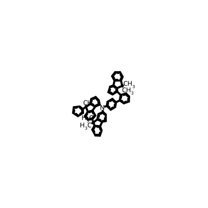 CC1(C)c2ccccc2-c2ccc(N(c3ccc(-c4ccccc4-c4cccc5c4C(C)(C)c4ccccc4-5)cc3)c3cccc4c3-c3ccccc3C4(C)c3ccccc3)cc21